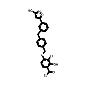 CCC(=O)c1ccc(OCc2ccc(Cc3cccc(-c4cc(O)no4)c3)cc2)c(Cl)c1O